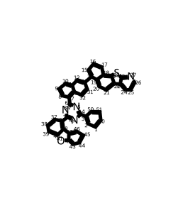 c1ccc(-c2nc(-c3cccc4cc(-c5cccc6c5ccc5c7cccnc7sc65)ccc34)nc(-c3cccc4oc5ccccc5c34)n2)cc1